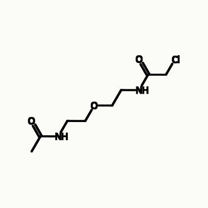 CC(=O)NCCOCCNC(=O)CCl